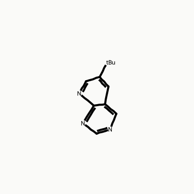 CC(C)(C)c1cnc2ncncc2c1